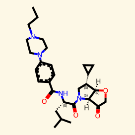 CCCN1CCN(c2ccc(C(=O)N[C@@H](CC(C)C)C(=O)N3C[C@H](C4CC4)[C@H]4OCC(=O)[C@H]43)cc2)CC1